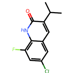 CC(C)c1cc2cc(Cl)cc(F)c2[nH]c1=O